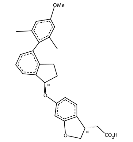 COc1cc(C)c(-c2cccc3c2CC[C@H]3Oc2ccc3c(c2)OC[C@H]3CC(=O)O)c(C)c1